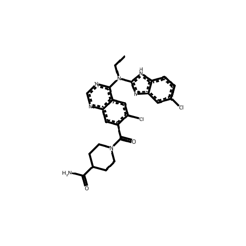 CCN(c1nc2cc(Cl)ccc2[nH]1)c1ncnc2cc(C(=O)N3CCC(C(N)=O)CC3)c(Cl)cc12